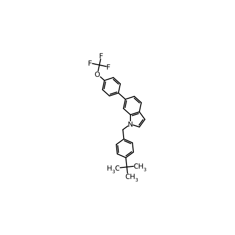 CC(C)(C)c1ccc(Cn2ccc3ccc(-c4ccc(OC(F)(F)F)cc4)cc32)cc1